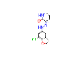 O=C1NCCC/C1=N/Nc1cc(Cl)c2c(c1)CCO2